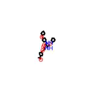 CC(=O)c1ccc(OCC(=O)NC(COCc2ccccc2)C(=O)Nc2ccc(Oc3ccccc3)cc2)cc1